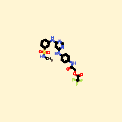 CNS(=O)(=O)c1cccc(Nc2cc(Nc3ccc(NC(=O)COC(=O)C(F)(F)F)cc3)ncn2)c1